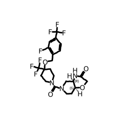 O=C1CO[C@H]2CCN(C(=O)N3CCC(OCc4ccc(C(F)(F)F)cc4F)(C(F)(F)F)CC3)C[C@H]2N1